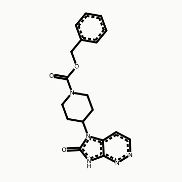 O=C(OCc1ccccc1)N1CCC(n2c(=O)[nH]c3nnccc32)CC1